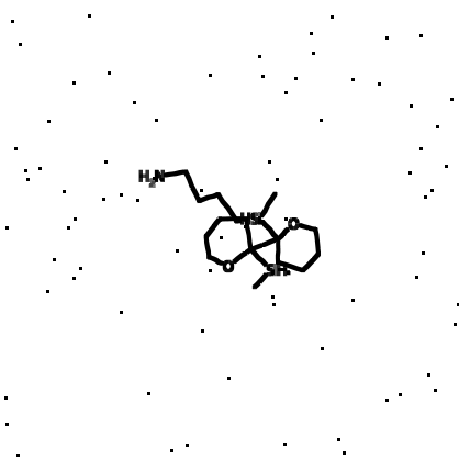 C[SiH](C)C1(C2([SiH](C)CCCCN)CCCCO2)CCCCO1